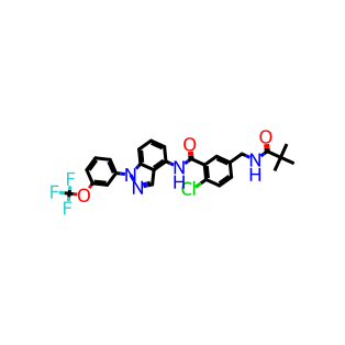 CC(C)(C)C(=O)NCc1ccc(Cl)c(C(=O)Nc2cccc3c2cnn3-c2cccc(OC(F)(F)F)c2)c1